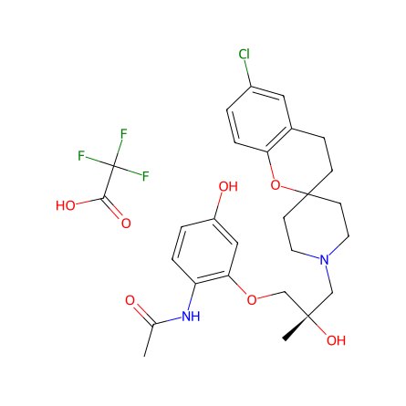 CC(=O)Nc1ccc(O)cc1OC[C@@](C)(O)CN1CCC2(CCc3cc(Cl)ccc3O2)CC1.O=C(O)C(F)(F)F